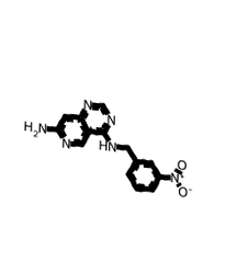 Nc1cc2ncnc(NCc3cccc([N+](=O)[O-])c3)c2cn1